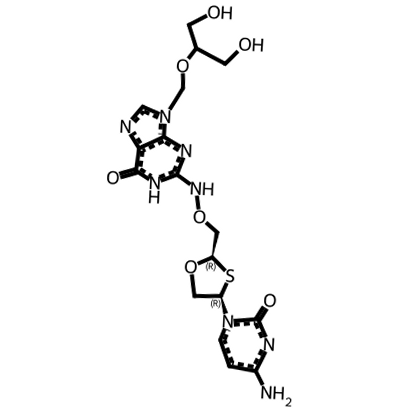 Nc1ccn([C@H]2CO[C@@H](CONc3nc4c(ncn4COC(CO)CO)c(=O)[nH]3)S2)c(=O)n1